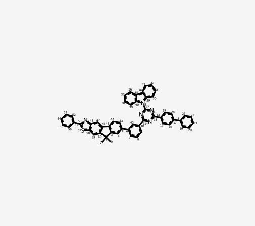 CC1(C)c2cc(-c3cccc(-c4nc(-c5ccc(-c6ccccc6)cc5)nc(-n5c6ccccc6c6ccccc65)n4)c3)ccc2-c2cc3nc(-c4ccccc4)sc3cc21